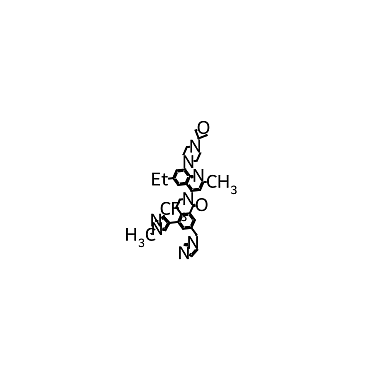 CCc1cc(N2CCN(C3COC3)CC2)c2nc(C)cc(N3CCc4c(cc(Cn5ccnc5)cc4-c4cn(C)nc4C(F)(F)F)C3=O)c2c1